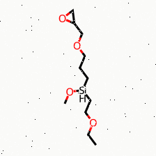 CCOCC[SiH](CCCOCC1CO1)OC